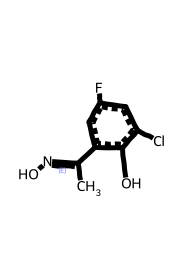 C/C(=N\O)c1cc(F)cc(Cl)c1O